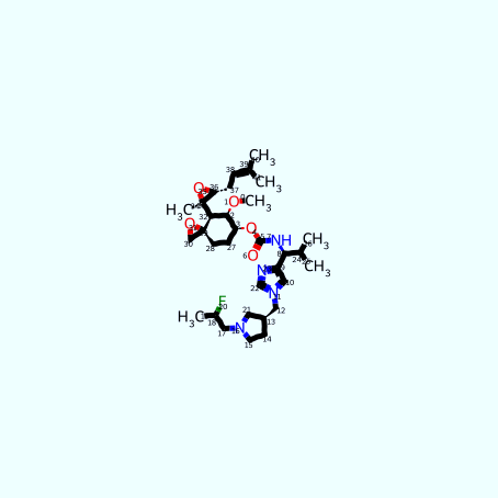 CO[C@@H]1[C@H](OC(=O)N[C@H](c2cn(C[C@H]3CCN(CC(C)F)C3)cn2)C(C)C)CC[C@]2(CO2)[C@H]1[C@@]1(C)O[C@@H]1CC=C(C)C